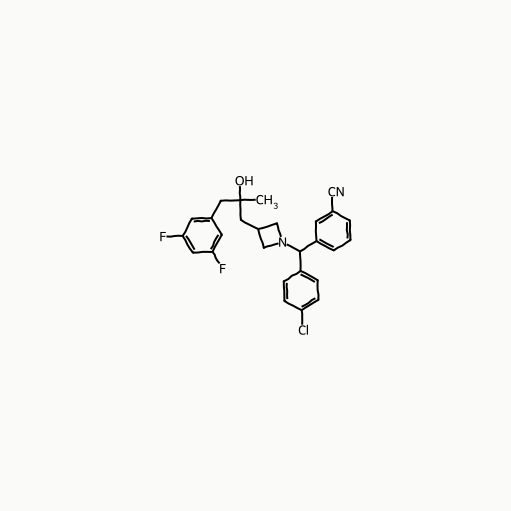 CC(O)(Cc1cc(F)cc(F)c1)CC1CN(C(c2ccc(Cl)cc2)c2cccc(C#N)c2)C1